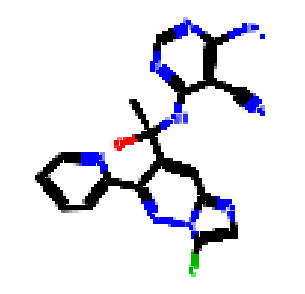 C[C@@](O)(Nc1ncnc(N)c1C#N)c1cc2ncc(Cl)n2nc1-c1ccccn1